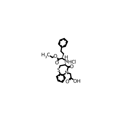 CCOC(=O)[C@@H](CCc1ccccc1)N[C@H]1CSc2ccccc2N(CC(=O)O)C1=O.Cl